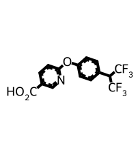 O=C(O)c1ccc(Oc2ccc(C(C(F)(F)F)C(F)(F)F)cc2)nc1